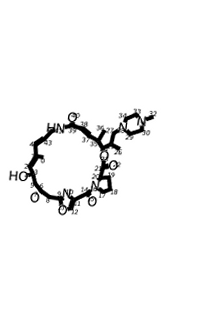 CC1=C\C(O)CC(=O)Cc2nc(co2)C(=O)N2CCCC2C(=O)OC(C(C)CN2CCN(C)CC2)C(C)/C=C/C(=O)NC\C=C\1